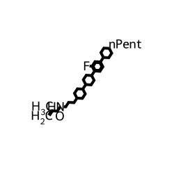 C=C(C)C(=O)NCCCC1CCC(C2CCC(c3ccc(C4CCC(CCCCC)CC4)cc3F)CC2)CC1